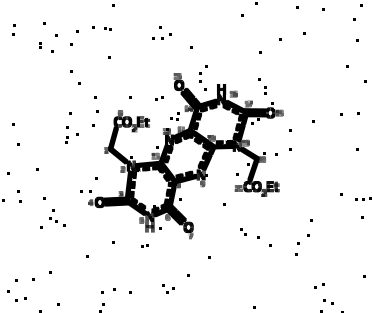 CCOC(=O)Cn1c(=O)[nH]c(=O)c2nc3c(nc21)c(=O)[nH]c(=O)n3CC(=O)OCC